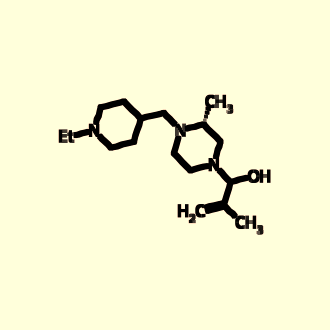 C=C(C)C(O)N1CCN(CC2CCN(CC)CC2)[C@H](C)C1